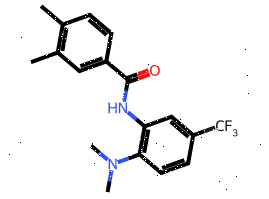 Cc1ccc(C(=O)Nc2cc(C(F)(F)F)ccc2N(C)C)cc1C